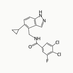 O=C(NCc1c(C2CC2)ccc2[nH]ncc12)c1cc(F)c(Cl)c(Cl)c1